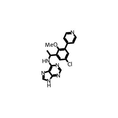 COc1c(-c2ccncc2)cc(Cl)cc1C(C)Nc1ncnc2[nH]cnc12